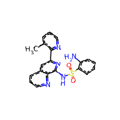 Cc1cccnc1-c1cc2cccnc2c(NS(=O)(=O)c2ccccc2N)n1